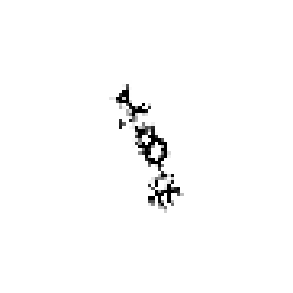 CC1(C)OB(c2ccc3nc(NC(=O)C4CC4)sc3c2)OC1(C)C